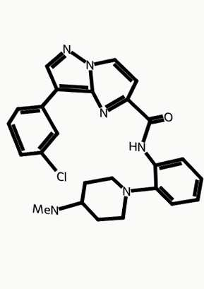 CNC1CCN(c2ccccc2NC(=O)c2ccn3ncc(-c4cccc(Cl)c4)c3n2)CC1